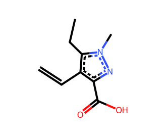 C=Cc1c(C(=O)O)nn(C)c1CC